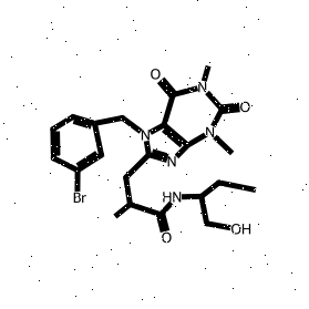 CCC(CO)NC(=O)C(C)Cc1nc2c(c(=O)n(C)c(=O)n2C)n1Cc1cccc(Br)c1